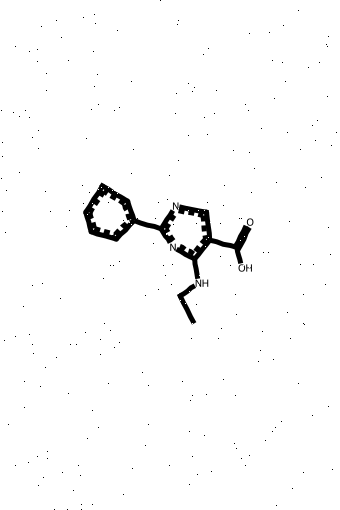 CCNc1nc(-c2ccccc2)ncc1C(=O)O